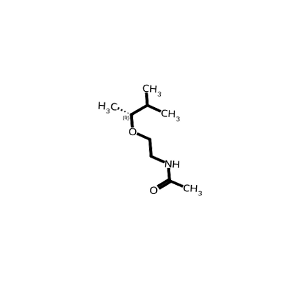 CC(=O)NCCO[C@H](C)C(C)C